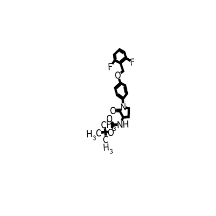 CC(C)(C)OC(=O)NC1CCN(c2ccc(OCc3c(F)cccc3F)cc2)C1=O